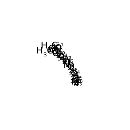 COC(=O)[C@]1(C)CCCN1C(=O)c1ccc(-c2cnc(OCC3CCN(CC(F)(F)C(F)(F)F)CC3)cn2)cc1